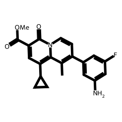 COC(=O)c1cc(C2CC2)c2c(C)c(-c3cc(N)cc(F)c3)ccn2c1=O